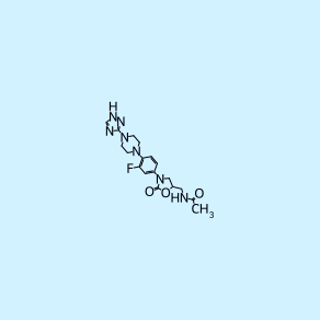 CC(=O)NCC1CN(c2ccc(N3CCN(c4nc[nH]n4)CC3)c(F)c2)C(=O)O1